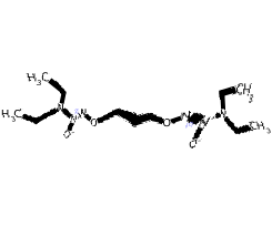 CCN(CC)/[N+]([O-])=N/OCCCO/N=[N+](\[O-])N(CC)CC